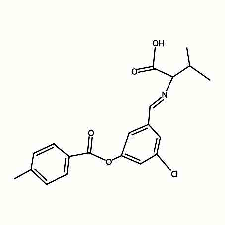 Cc1ccc(C(=O)Oc2cc(Cl)cc(C=NC(C(=O)O)C(C)C)c2)cc1